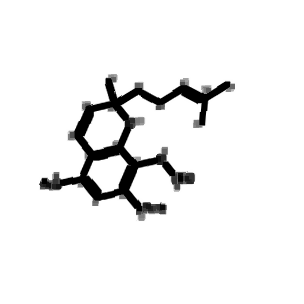 CCCCCc1cc(OC(C)=O)c2c(c1OC=O)OC(C)(CCC=C(C)C)C=C2